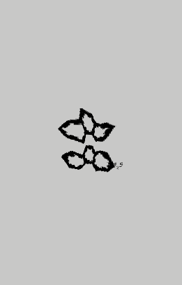 S.c1ccc2c(c1)ccc1ccccc12.c1ccc2c(c1)ccc1ccccc12